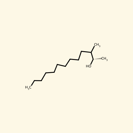 CCCCCCCCCCC(C)[C@H](C)O